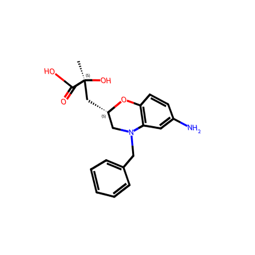 C[C@](O)(C[C@H]1CN(Cc2ccccc2)c2cc(N)ccc2O1)C(=O)O